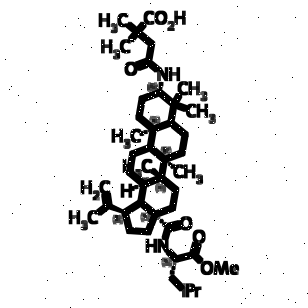 C=C(C)[C@@H]1CC[C@]2(C(=O)N[C@@H](CC(C)C)C(=O)OC)CC[C@]3(C)[C@H](CCC4[C@@]5(C)CC[C@H](NC(=O)CC(C)(C)C(=O)O)C(C)(C)C5CC[C@]43C)C12